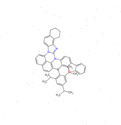 CC(C)c1cc(C(C)C)c(B2c3c(ccc4c3oc3ccccc34)-n3c4c2ccc2cccc(c24)n2c4ccc5c(c4nc32)CCCC5)c(C(C)C)c1